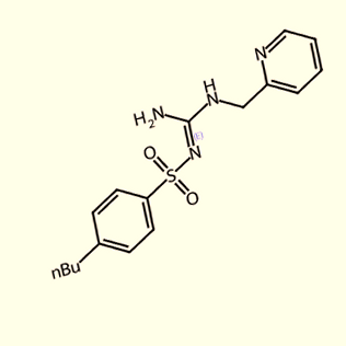 CCCCc1ccc(S(=O)(=O)/N=C(\N)NCc2ccccn2)cc1